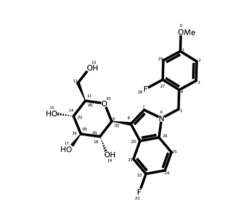 COc1ccc(Cn2cc([C@@H]3O[C@H](CO)[C@@H](O)[C@H](O)[C@H]3O)c3cc(F)ccc32)c(F)c1